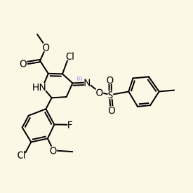 COC(=O)C1=C(Cl)/C(=N/OS(=O)(=O)c2ccc(C)cc2)CC(c2ccc(Cl)c(OC)c2F)N1